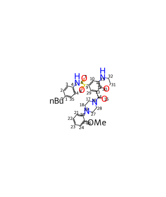 CCCCc1ccc(NS(=O)(=O)c2cc3c(c(C(=O)N4CCN(c5ccccc5OC)CC4)c2)OCCN3)cc1